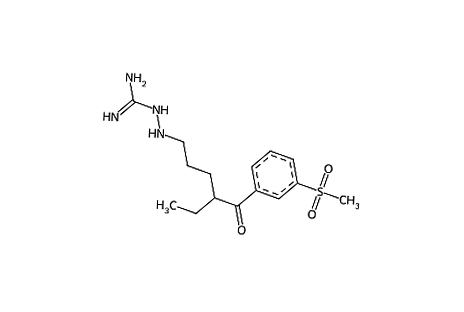 CCC(CCCNNC(=N)N)C(=O)c1cccc(S(C)(=O)=O)c1